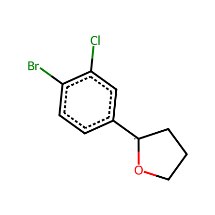 Clc1cc([C]2CCCO2)ccc1Br